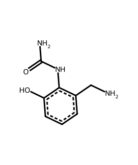 NCc1cccc(O)c1NC(N)=O